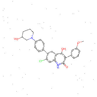 COc1cccc(-c2c(O)c3cc(-c4ccc(N5CCCC(O)C5)cc4)c(Cl)cc3[nH]c2=O)c1